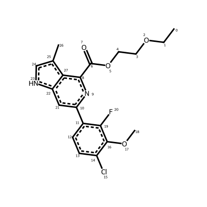 CCOCCOC(=O)c1nc(-c2ccc(Cl)c(OC)c2F)cc2[nH]cc(C)c12